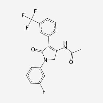 CC(=O)NC1=C(c2cccc(C(F)(F)F)c2)C(=O)N(c2cccc(F)c2)C1